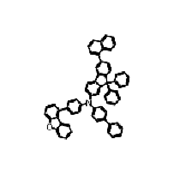 c1ccc(-c2ccc(N(c3ccc(-c4cccc5oc6ccccc6c45)cc3)c3ccc4c(c3)C(c3ccccc3)(c3ccccc3)c3ccc(-c5cccc6ccccc56)cc3-4)cc2)cc1